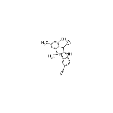 COc1cc(C)cc(C)c1C(c1nc2cc(C#N)ccc2[nH]1)C1CC1